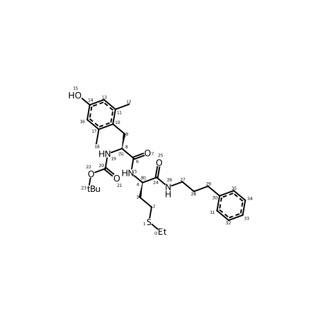 CCSCC[C@@H](NC(=O)[C@H](Cc1c(C)cc(O)cc1C)NC(=O)OC(C)(C)C)C(=O)NCCCc1ccccc1